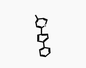 CC1=CC=C(c2ccc(-c3ccccc3)cc2)SC=C1